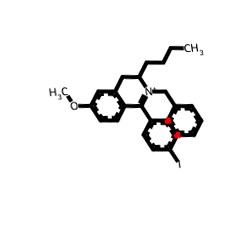 CCCCC1Cc2cc(OC)ccc2C(c2ccc(I)cc2)=[N+]1Cc1ccccc1